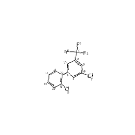 FC(F)(F)c1cc(Cl)cc(-c2ccc[c]c2Cl)c1